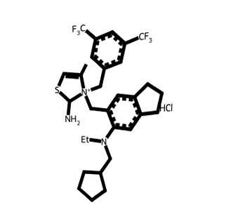 CCN(CC1CCCC1)c1cc2c(cc1C[N+]1(Cc3cc(C(F)(F)F)cc(C(F)(F)F)c3)C(C)=CSC1N)CCC2.Cl